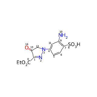 CCOC(=O)C1=NN(c2ccc(S(=O)(=O)O)c(N)c2)CC1=O